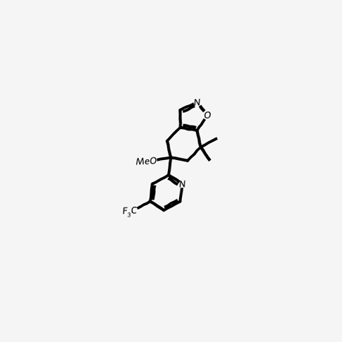 COC1(c2cc(C(F)(F)F)ccn2)Cc2cnoc2C(C)(C)C1